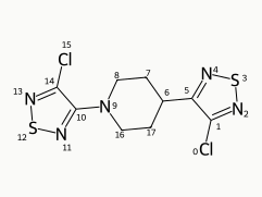 Clc1nsnc1C1CCN(c2nsnc2Cl)CC1